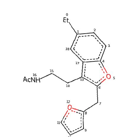 CCc1ccc2oc(Cc3ccco3)c(CCNC(C)=O)c2c1